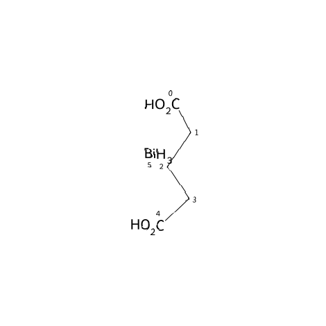 O=C(O)CCCC(=O)O.[BiH3]